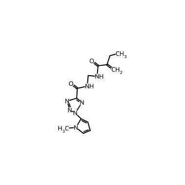 C=C(CC)C(=O)NCNC(=O)c1nnn(-c2cccn2C)n1